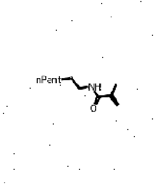 C=C(C)C(=O)NCCCCCCC